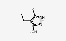 CCc1c(O)n[nH]c1C